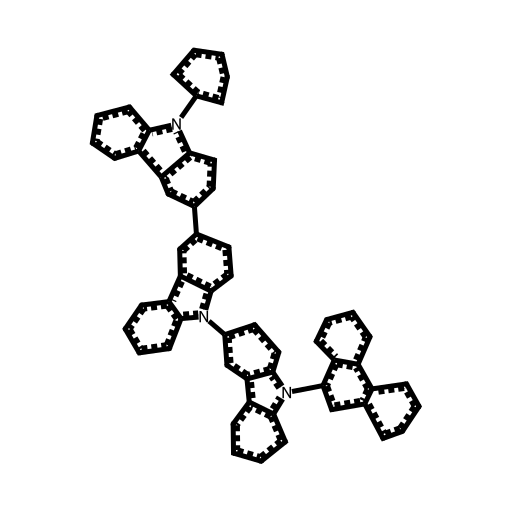 c1ccc(-n2c3ccccc3c3cc(-c4ccc5c(c4)c4ccccc4n5-c4ccc5c(c4)c4ccccc4n5-c4cc5ccccc5c5ccccc45)ccc32)cc1